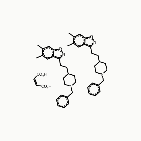 Cc1cc2onc(CCC3CCN(Cc4ccccc4)CC3)c2cc1C.Cc1cc2onc(CCC3CCN(Cc4ccccc4)CC3)c2cc1C.O=C(O)/C=C\C(=O)O